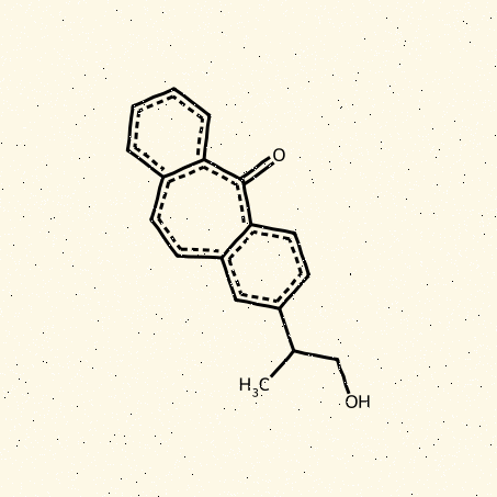 CC(CO)c1ccc2c(=O)c3ccccc3ccc2c1